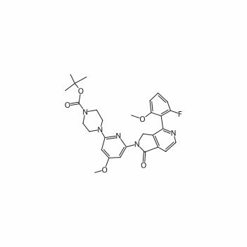 COc1cc(N2CCN(C(=O)OC(C)(C)C)CC2)nc(N2Cc3c(ccnc3-c3c(F)cccc3OC)C2=O)c1